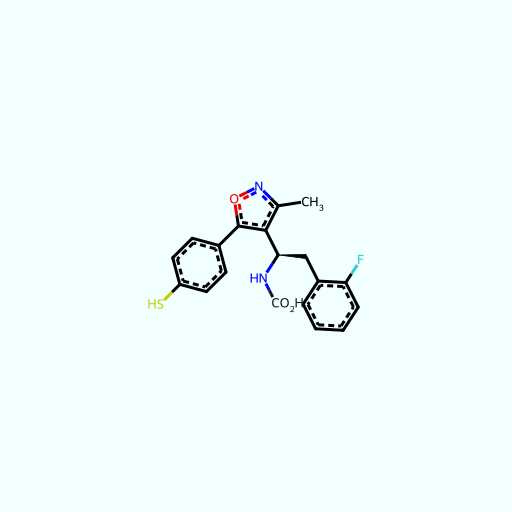 Cc1noc(-c2ccc(S)cc2)c1[C@@H](Cc1ccccc1F)NC(=O)O